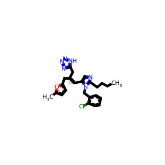 CCCCc1ncc(/C=C(\Cc2nnn[nH]2)Cc2ccc(C)o2)n1Cc1ccccc1Cl